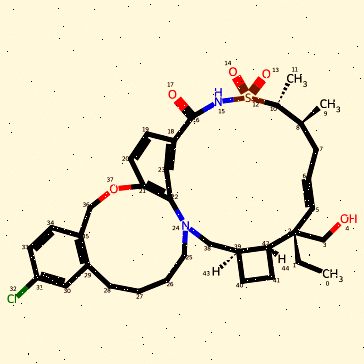 CC[C@]1(CO)/C=C/C[C@H](C)[C@@H](C)S(=O)(=O)NC(=O)c2ccc3c(c2)N(CCCCc2cc(Cl)ccc2CO3)C[C@@H]2CC[C@H]21